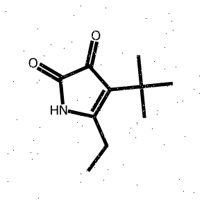 CCC1=C(C(C)(C)C)C(=O)C(=O)N1